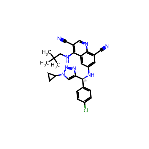 CC(C)(C)CNc1c(C#N)cnc2c(C#N)cc(N[C@@H](c3ccc(Cl)cc3)c3cn(C4CC4)nn3)cc12